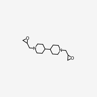 C1OC1CN1CCC(C2CCN(CC3CO3)CC2)CC1